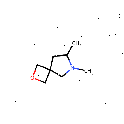 CC1CC2(COC2)CN1C